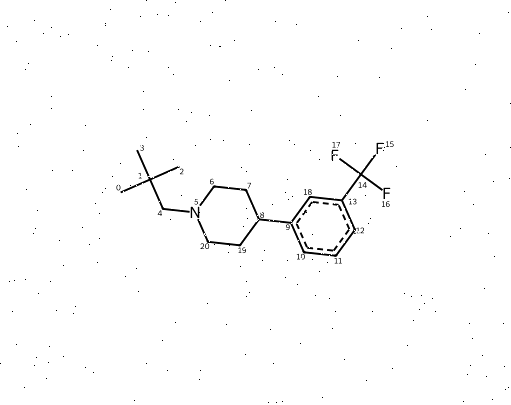 CC(C)(C)CN1CCC(c2cc[c]c(C(F)(F)F)c2)CC1